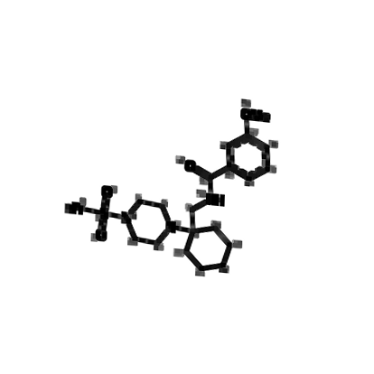 CCCS(=O)(=O)N1CCN(C2(CNC(=O)c3cccc(OC)c3)CCCCC2)CC1